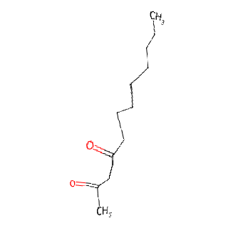 CCCCCCCCC(=O)CC(C)=O